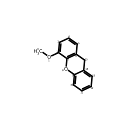 COc1cccc2c1Oc1ccccc1C2